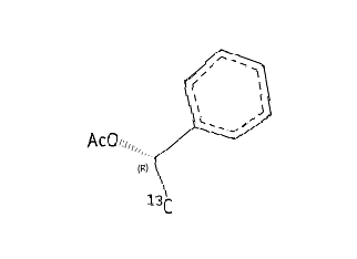 CC(=O)O[C@@H]([13CH3])c1ccccc1